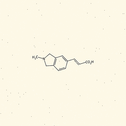 CN1Cc2ccc(/C=C/C(=O)O)cc2C1